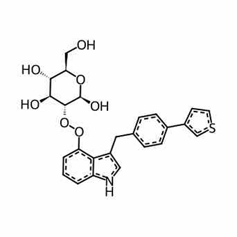 OC[C@H]1O[C@@H](O)[C@H](OOc2cccc3[nH]cc(Cc4ccc(-c5ccsc5)cc4)c23)[C@@H](O)[C@@H]1O